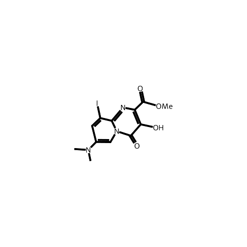 COC(=O)c1nc2c(I)cc(N(C)C)cn2c(=O)c1O